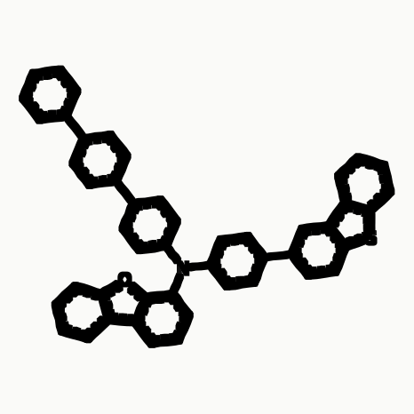 c1ccc(-c2ccc(-c3ccc(N(c4ccc(-c5ccc6sc7ccccc7c6c5)cc4)c4cccc5c4oc4ccccc45)cc3)cc2)cc1